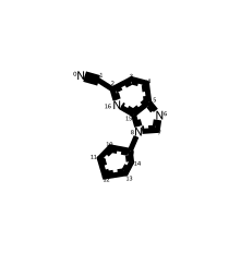 N#Cc1ccc2ncn(-c3ccccc3)c2n1